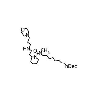 CCCCCCCCCCCCCCCCCCN(C)C(=O)N1CCCCC1CCNCCCN1CCOCC1